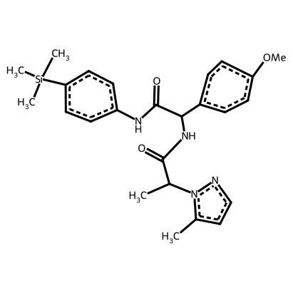 COc1ccc(C(NC(=O)C(C)n2nccc2C)C(=O)Nc2ccc([Si](C)(C)C)cc2)cc1